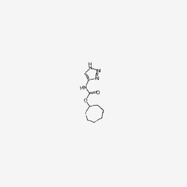 O=C(Nc1c[nH]nn1)OC1CCCCCC1